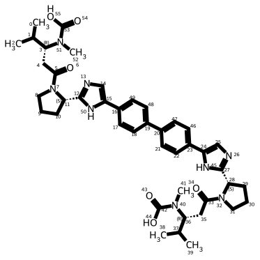 CC(C)[C@@H](CC(=O)N1CCC[C@H]1c1ncc(-c2ccc(-c3ccc(-c4cnc([C@@H]5CCCN5C(=O)C[C@H](C(C)C)N(C)C(=O)O)[nH]4)cc3)cc2)[nH]1)N(C)C(=O)O